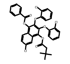 CC(C)(C)CC(=O)Oc1c(Oc2ccccc2Cl)c(Oc2ccccc2Cl)c(OC(=O)c2ccccc2)c2ccc(Cl)cc12